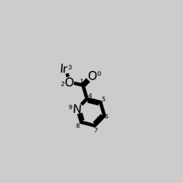 O=C([O][Ir])c1ccccn1